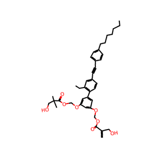 C=C(CO)C(=O)OCOc1cc(OCOC(=O)C(C)(C)CO)cc(-c2ccc(C#Cc3ccc(CCCCCCC)cc3)cc2CC)c1